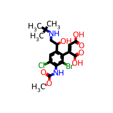 COC(=O)Nc1c(Cl)cc(C(O)CNC(C)(C)C)c(/C(=C/C(=O)O)C(=O)O)c1Br